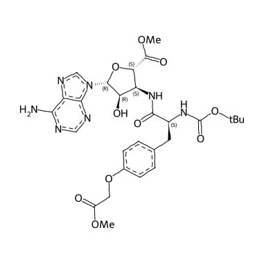 COC(=O)COc1ccc(C[C@H](NC(=O)OC(C)(C)C)C(=O)N[C@H]2[C@@H](O)[C@H](n3cnc4c(N)ncnc43)O[C@@H]2C(=O)OC)cc1